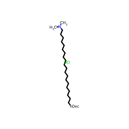 CCCCCCCCCCCCCCCCCCCCCCCCCCCCCCN(C)C.Cl